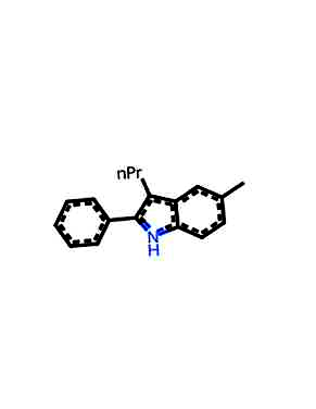 CCCc1c(-c2ccccc2)[nH]c2ccc(C)cc12